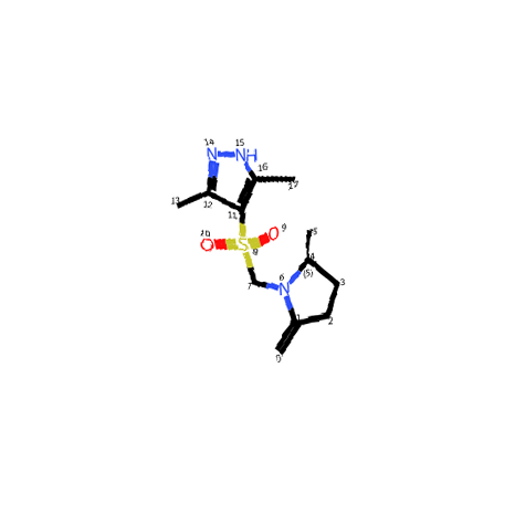 C=C1CC[C@H](C)N1CS(=O)(=O)c1c(C)n[nH]c1C